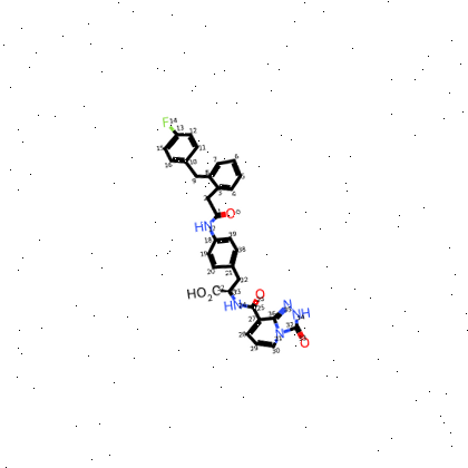 O=C(Cc1ccccc1Cc1ccc(F)cc1)Nc1ccc(C[C@@H](NC(=O)c2cccn3c(=O)[nH]nc23)C(=O)O)cc1